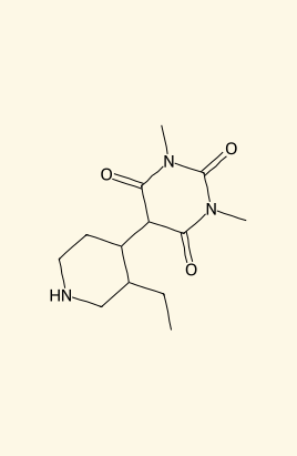 CCC1CNCCC1C1C(=O)N(C)C(=O)N(C)C1=O